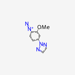 COc1cc(-n2nccn2)ccc1[N+]#N